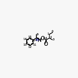 CCC(C)C(=O)O/N=C(\C)c1ccccc1